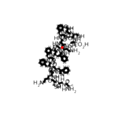 C[C@H](N)C(=O)NCC(=O)N[C@@H](CS)C(=O)N[C@@H](CCCCN)C(=O)N[C@H](Cc1c[nH]c2ccccc12)C(=O)N[C@@H](Cc1ccccc1)C(=O)N[C@@H](Cc1ccccc1)C(=O)N[C@H](Cc1c[nH]c2ccccc12)C(=O)N[C@@H](CCCCN)C(=O)N[C@H](C(=O)N[C@@H](Cc1ccccc1)C(=O)N[C@H](C(=O)N[C@@H](CO)C(=O)N[C@@H](CS)C(=O)O)[C@@H](C)O)[C@@H](C)O